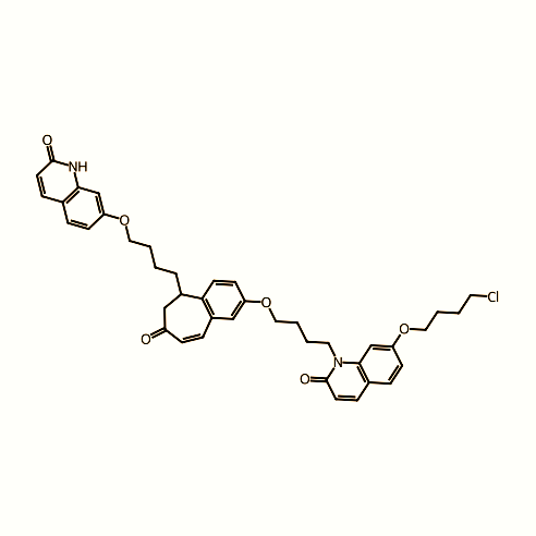 O=C1C=Cc2cc(OCCCCn3c(=O)ccc4ccc(OCCCCCl)cc43)ccc2C(CCCCOc2ccc3ccc(=O)[nH]c3c2)C1